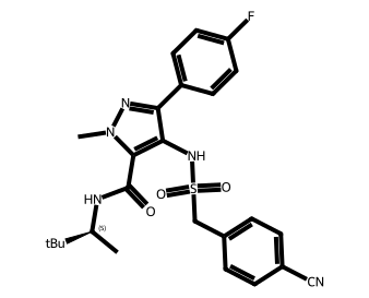 C[C@H](NC(=O)c1c(NS(=O)(=O)Cc2ccc(C#N)cc2)c(-c2ccc(F)cc2)nn1C)C(C)(C)C